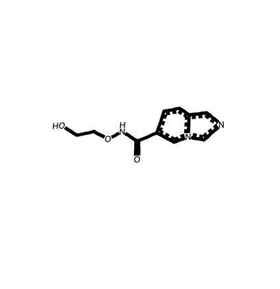 O=C(NOCCO)c1ccc2cncn2c1